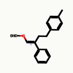 Cc1ccc(CC/C(=C\OC=O)c2ccccc2)cc1